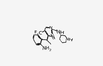 CC(c1ccccc1N)c1nc(N[C@H]2CCCNC2)ncc1C(F)(F)F